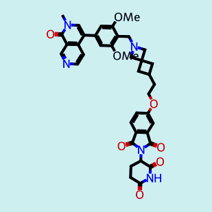 COc1cc(-c2cn(C)c(=O)c3cnccc23)cc(OC)c1CN1CC2(CC(CCOc3ccc4c(c3)C(=O)N(C3CCC(=O)NC3=O)C4=O)C2)C1